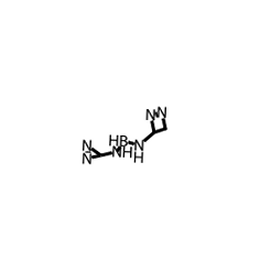 B(NC1CN=N1)NC1N=N1